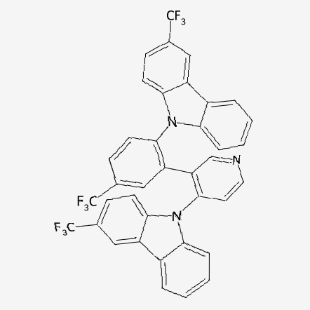 FC(F)(F)c1ccc(-n2c3ccccc3c3cc(C(F)(F)F)ccc32)c(-c2cnccc2-n2c3ccccc3c3cc(C(F)(F)F)ccc32)c1